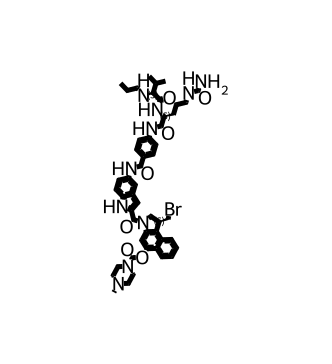 CCCN[C@H](C(=O)N[C@@H](CCCNC(N)=O)C(=O)Nc1ccc(C(=O)Nc2ccc3[nH]c(C(=O)N4C[C@@H](CBr)c5c4cc(OC(=O)N4CCN(C)CC4)c4ccccc54)cc3c2)cc1)C(C)C